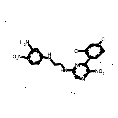 Nc1cc(NCCNc2cnc([N+](=O)[O-])c(-c3ccc(Cl)cc3Cl)n2)ccc1[N+](=O)[O-]